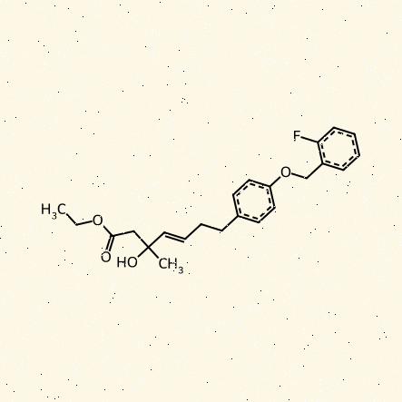 CCOC(=O)CC(C)(O)/C=C/CCc1ccc(OCc2ccccc2F)cc1